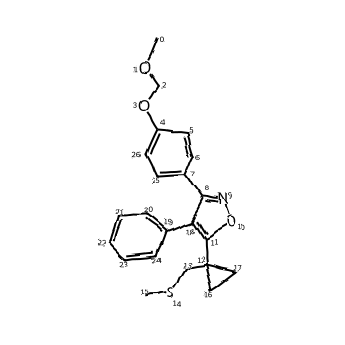 COCOc1ccc(-c2noc(C3(CSC)CC3)c2-c2ccccc2)cc1